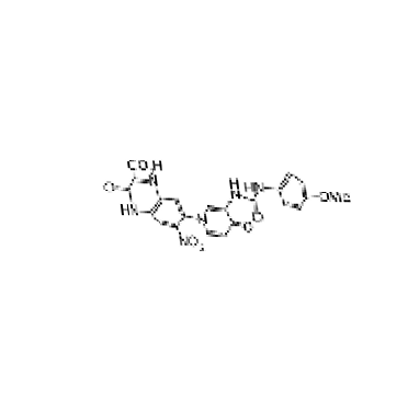 COc1ccc(NC(=O)Nc2cn(-c3cc4nc(C(=O)O)c(=O)[nH]c4cc3[N+](=O)[O-])ccc2=O)cc1